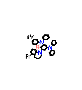 CC(C)c1ccc2c(c1)N(c1ccccc1)c1cc(N(c3ccccc3)c3ccccc3)cc3c1B2c1ccc(C(C)C)c2c1N3CCCC2